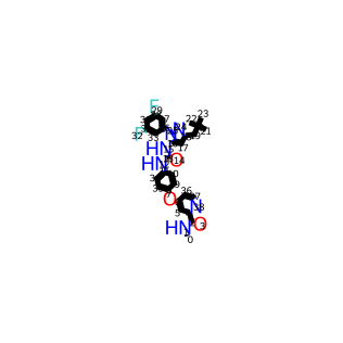 CNC(=O)c1cc(Oc2ccc(NC(=O)Nc3cc(CC(C)(C)C)nn3-c3cc(F)cc(F)c3)cc2)ccn1